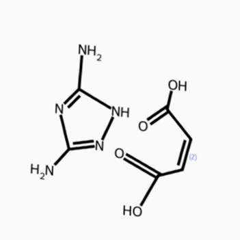 Nc1n[nH]c(N)n1.O=C(O)/C=C\C(=O)O